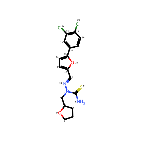 NC(=S)N(CC1CCCO1)N=Cc1ccc(-c2ccc(Cl)c(Cl)c2)o1